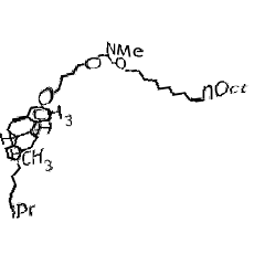 CCCCCCCC/C=C\CCCCCCCCOC[C@H](COCCCCO[C@H]1CC[C@@]2(C)C(=CC[C@H]3[C@@H]4CC[C@H](CCCCC(C)C)[C@@]4(C)CC[C@@H]32)C1)NC